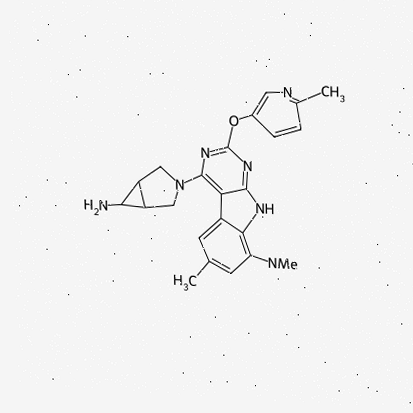 CNc1cc(C)cc2c1[nH]c1nc(Oc3ccc(C)nc3)nc(N3CC4C(N)C4C3)c12